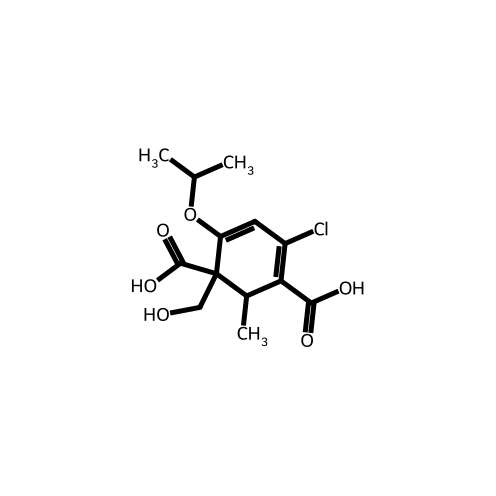 CC(C)OC1=CC(Cl)=C(C(=O)O)C(C)C1(CO)C(=O)O